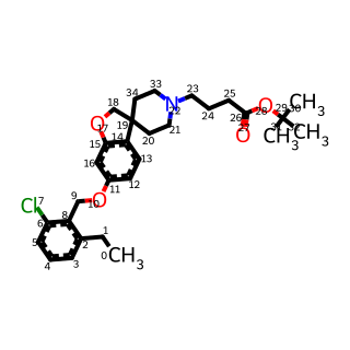 CCc1cccc(Cl)c1COc1ccc2c(c1)OCC21CCN(CCCC(=O)OC(C)(C)C)CC1